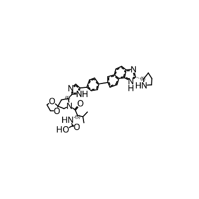 CC(C)[C@H](NC(=O)O)C(=O)N1CC2(C[C@H]1c1ncc(-c3ccc(-c4ccc5c(ccc6nc([C@@H]7CCCN7)[nH]c65)c4)cc3)[nH]1)OCCO2